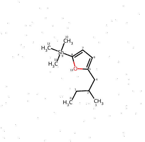 CCC(C)Cc1cc[c]([Sn]([CH3])([CH3])[CH3])o1